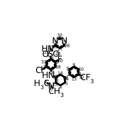 CN(C)[C@H]1CC[C@@H](c2cccc(C(F)(F)F)c2)C[C@@H]1Nc1cc(F)c(S(=O)(=O)Nc2ccncn2)cc1Cl